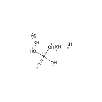 O=P(O)(O)O.[Ag].[KH].[KH].[KH]